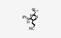 CC(C)Nc1nc([S+](C)[O-])ncc1/C=C/C#N